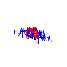 CC(C)C[C@H](NC(=O)[C@H](CCCNC(=N)N)NC(=O)[C@@H](NC(=O)[C@@H]1CCCN1C(=O)[C@H](Cc1ccccc1)NC(=O)[C@H](CC(C)C)NC(=O)[C@H](CCCNC(=N)N)NC(=O)[C@@H](NC(=O)[C@@H]1CCCN1)C(C)C)C(C)C)C(=O)N[C@@H](Cc1ccccc1)C(=O)O